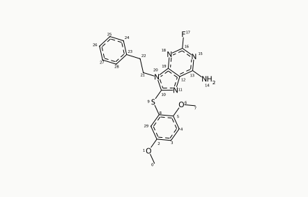 COc1ccc(OC)c(Sc2nc3c(N)nc(F)nc3n2CCc2ccccc2)c1